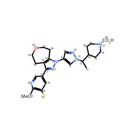 COc1ncc(-c2nn(-c3cnn(C(C)C4CCN(C(=O)O)CC4)c3)c3c2CCOCC3)cc1F